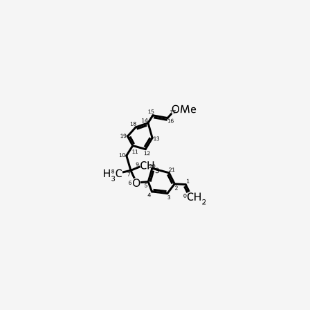 C=Cc1ccc(OC(C)(C)Cc2ccc(C=COC)cc2)cc1